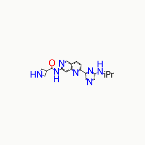 CC(C)Nc1cncc(-c2ccc3cnc(NC(=O)C4CNC4)cc3n2)n1